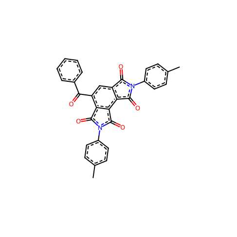 Cc1ccc(-n2c(=O)c3cc(C(=O)c4ccccc4)c4c(=O)n(-c5ccc(C)cc5)c(=O)c4c3c2=O)cc1